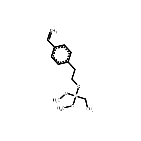 C=Cc1ccc(CCO[Si](CC)(OC)OC)cc1